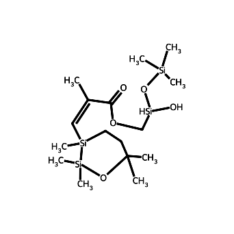 CC(=C[Si]1(C)CCC(C)(C)O[Si]1(C)C)C(=O)OC[SiH](O)O[Si](C)(C)C